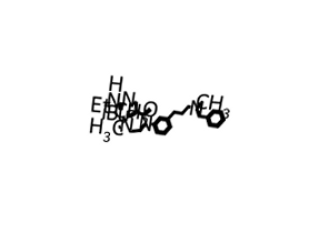 C=C(/N=C\C1=C(C(C)CC)N(C)CCN(c2cccc(CCCN(C)Cc3ccccc3)c2)C1=O)NCC